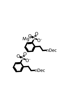 CCCCCCCCCCCCc1ccccc1S(=O)(=O)[O-].CCCCCCCCCCCCc1ccccc1S(=O)(=O)[O-].[Mg+2]